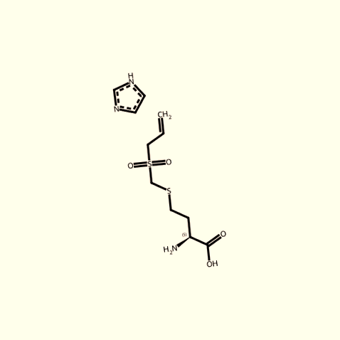 C=CCS(=O)(=O)CSCC[C@H](N)C(=O)O.c1c[nH]cn1